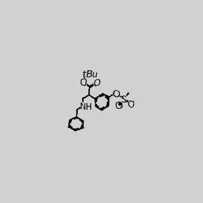 CC(C)(C)OC(=O)C(CNCc1ccccc1)c1cccc(OS(C)(=O)=O)c1